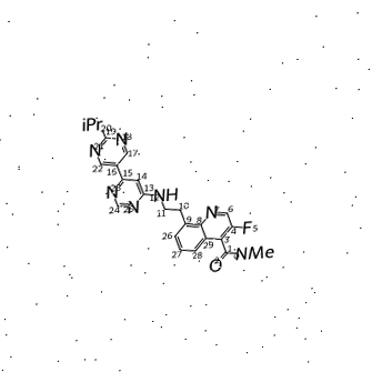 CNC(=O)c1c(F)cnc2c(CCNc3cc(-c4cnc(C(C)C)nc4)ncn3)cccc12